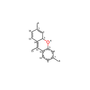 CC1=CC2Oc3cc(C)ccc3C(C)=C2C=C1